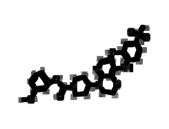 COc1cccc(OC(=O)N2CCC(N3CCOc4c(Nc5ccc(S(C)(=O)=O)cc5F)ncnc43)CC2)c1